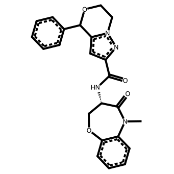 CN1C(=O)[C@@H](NC(=O)c2cc3n(n2)CCOC3c2ccccc2)COc2ccccc21